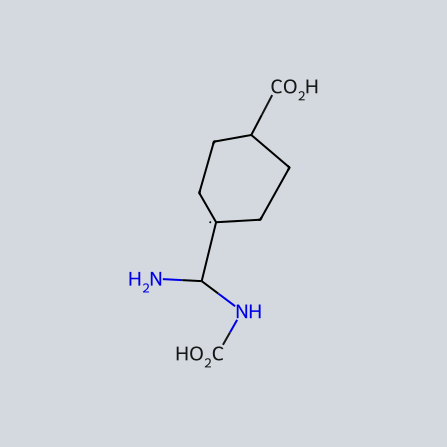 NC(NC(=O)O)[C]1CCC(C(=O)O)CC1